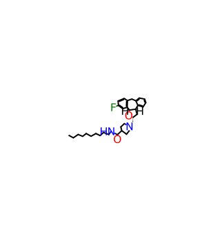 CCCCCCCCCCNC(=O)C1CCN(C[C@H]2C[C@@H]3c4ccccc4Cc4ccc(F)cc4[C@@H]3O2)CC1